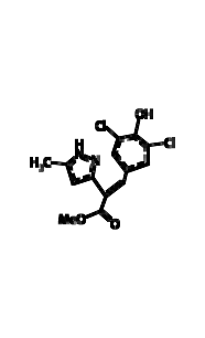 COC(=O)C(=Cc1cc(Cl)c(O)c(Cl)c1)c1cc(C)[nH]n1